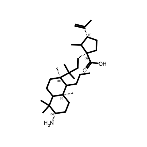 C=C(C)[C@@H]1CC[C@@](CCC(C)(C)[C@]2(C)CCC3C(C)(C)[C@@H](N)CC[C@]3(C)C2CCC)(C(=O)O)C1C